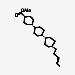 C/C=C/CC[C@H]1CC[C@H](C2CCC([C@H]3CC[C@H](C(=O)OC)CC3)CC2)CC1